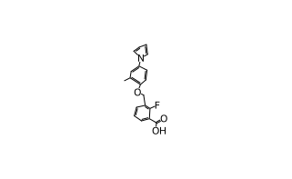 Cc1cc(-n2cccc2)ccc1OCc1cccc(C(=O)O)c1F